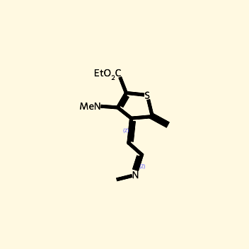 C=c1sc(C(=O)OCC)c(NC)/c1=C/C=N\C